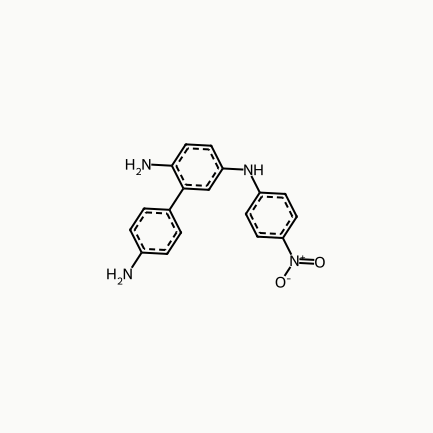 Nc1ccc(-c2cc(Nc3ccc([N+](=O)[O-])cc3)ccc2N)cc1